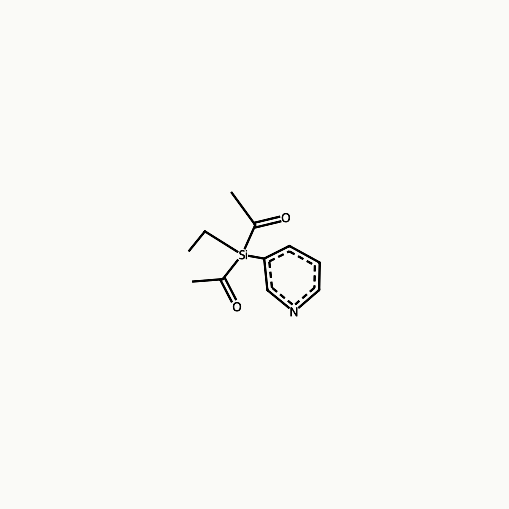 CC[Si](C(C)=O)(C(C)=O)c1cccnc1